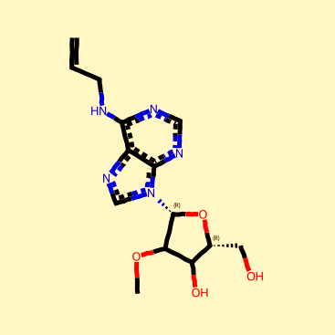 C=CCNc1ncnc2c1ncn2[C@@H]1O[C@H](CO)C(O)C1OC